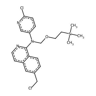 C[Si](C)(C)CCOCN(c1ccc(Cl)nc1)c1nccc2cc(CCl)ccc12